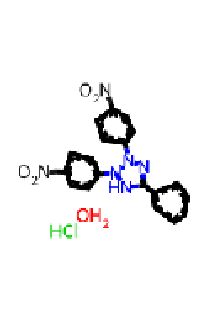 Cl.O.O=[N+]([O-])c1ccc(N2N=C(c3ccccc3)NN2c2ccc([N+](=O)[O-])cc2)cc1